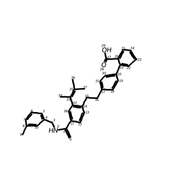 C=C(NCc1cccc(C)c1)c1ccc(CCc2ccc(-c3ccccc3C(=O)O)cc2)c(C(C)=C(C)C)c1